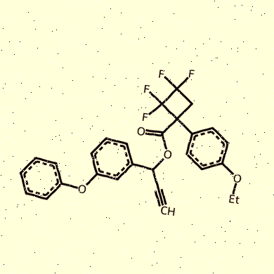 C#CC(OC(=O)C1(c2ccc(OCC)cc2)CC(F)(F)C1(F)F)c1cccc(Oc2ccccc2)c1